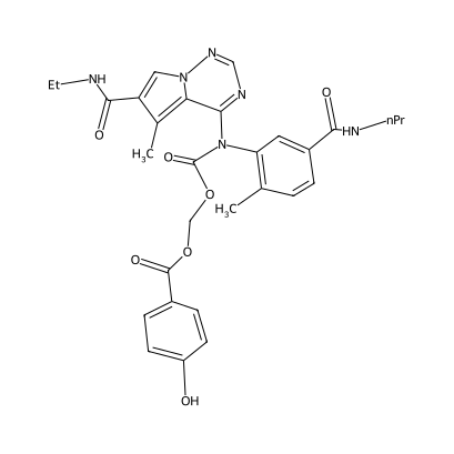 CCCNC(=O)c1ccc(C)c(N(C(=O)OCOC(=O)c2ccc(O)cc2)c2ncnn3cc(C(=O)NCC)c(C)c23)c1